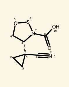 N#CC1([C@@H]2COSN2C(=O)O)CC1